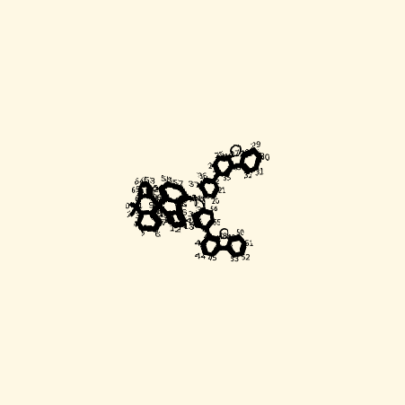 CC1(C)c2ccccc2C2(c3ccccc3-c3c(N(c4ccc(-c5ccc6oc7ccccc7c6c5)cc4)c4ccc(-c5cccc6c5oc5ccccc56)cc4)cccc32)c2ccccc21